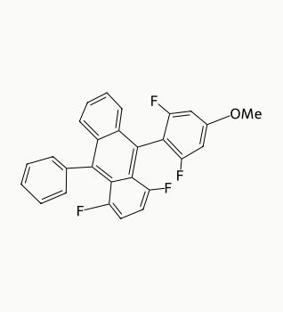 COc1cc(F)c(-c2c3ccccc3c(-c3ccccc3)c3c(F)ccc(F)c23)c(F)c1